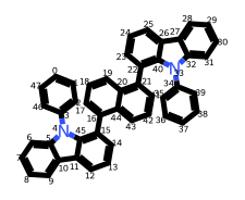 c1ccc(-n2c3ccccc3c3cccc(-c4cccc5c(-c6cccc7c8ccccc8n(-c8ccccc8)c67)cccc45)c32)cc1